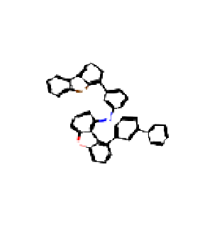 C1=c2c(sc3ccccc23)=C(c2cccc(Nc3cccc4oc5cccc(-c6cccc(-c7ccccc7)c6)c5c34)c2)CC1